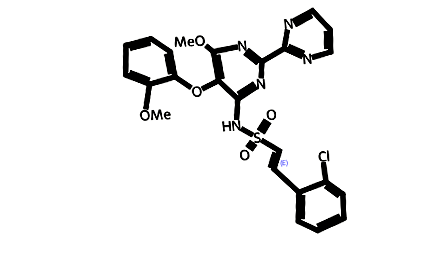 COc1ccccc1Oc1c(NS(=O)(=O)/C=C/c2ccccc2Cl)nc(-c2ncccn2)nc1OC